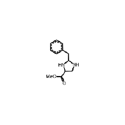 COC(=O)C1CNC(Cc2ccccc2)N1